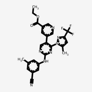 CCOC(=O)c1cncc(-c2cnc(Nc3cc(C)cc(C#N)c3)nc2-n2nc(C(F)(F)F)cc2C)c1